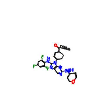 COC(=O)C1CCC(n2c(Nc3c(F)cc(F)cc3F)nc3cnc(NC4CCOCC4)nc32)CC1